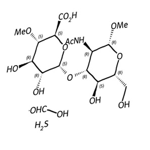 CO[C@@H]1O[C@H](CO)[C@@H](O)[C@H](O[C@H]2O[C@H](C(=O)O)[C@@H](OC)[C@H](O)[C@H]2O)[C@H]1NC(C)=O.O=[C]O.S